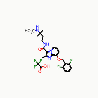 Cc1nc2c(OCc3c(F)cccc3F)cccn2c1C(=O)NCCC(C)(C)NC(=O)O.O=C(O)C(F)(F)F